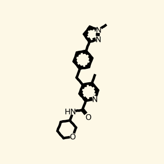 Cc1cnc(C(=O)NC2CCCOC2)cc1Cc1ccc(-c2ccn(C)n2)cc1